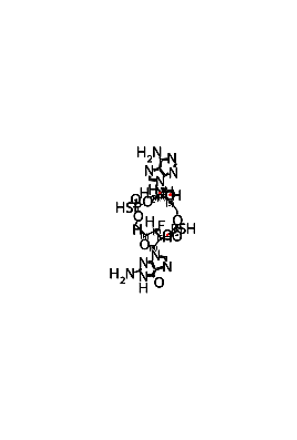 Nc1nc2c(ncn2[C@@H]2O[C@@H]3COP(=O)(S)O[C@@H]4[C@H](N)[C@@H](CO[P@@](=O)(S)O[C@@H]2[C@@H]3F)O[C@H]4n2cnc3c(N)ncnc32)c(=O)[nH]1